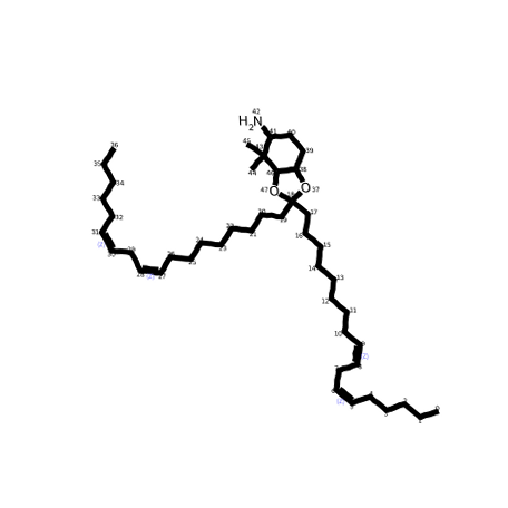 CCCCC/C=C\C/C=C\CCCCCCCCC1(CCCCCCCC/C=C\C/C=C\CCCCC)OC2CCC(N)C(C)(C)C2O1